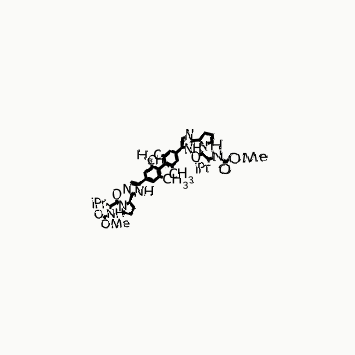 COC(=O)N[C@H](C(=O)N1CCCC1c1ncc(-c2cc(C)c(-c3c(C)cc(-c4cnc(C5CCCN5C(=O)[C@@H](NC(=O)OC)C(C)C)[nH]4)cc3C)c(C)c2)[nH]1)C(C)C